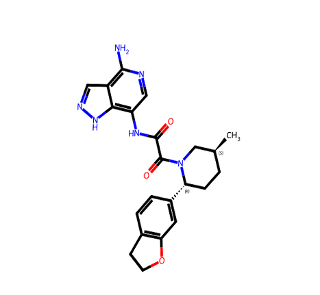 C[C@H]1CC[C@H](c2ccc3c(c2)OCC3)N(C(=O)C(=O)Nc2cnc(N)c3cn[nH]c23)C1